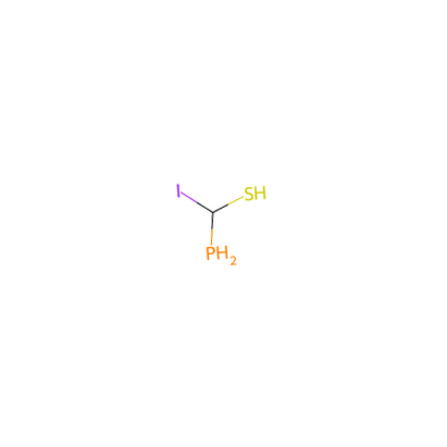 PC(S)I